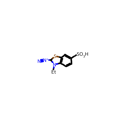 CCN1c2ccc(S(=O)(=O)O)cc2SC1[N+]#N